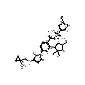 CCn1cc(S(=O)(=O)NC(=O)c2ccc(-n3ccc(OCC4(C(F)(F)F)CC4)n3)nc2C2C[C@@H](C)CC2(C)C)cn1